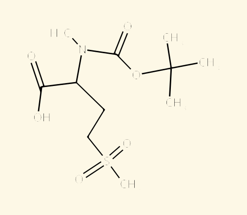 CN(C(=O)OC(C)(C)C)C(CCS(C)(=O)=O)C(=O)O